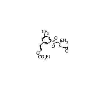 CCOC(=O)O/C=C/c1cc(C(F)(F)F)cc(S(=O)(=O)N(C)CC2CO2)c1